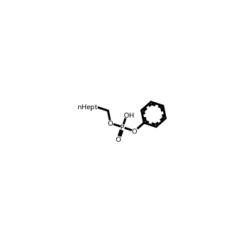 CCCCCCCCOP(=O)(O)Oc1ccccc1